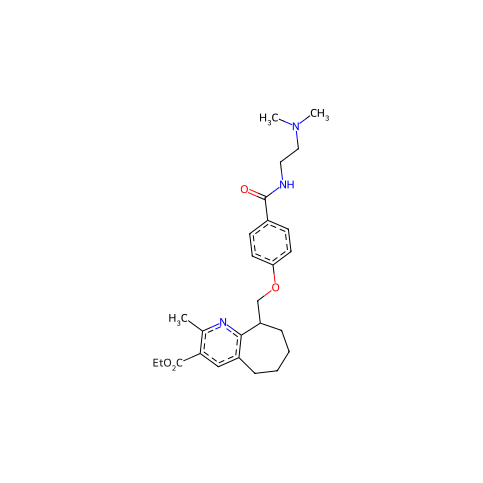 CCOC(=O)c1cc2c(nc1C)C(COc1ccc(C(=O)NCCN(C)C)cc1)CCCC2